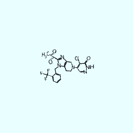 CS(=O)(=O)c1nc2c(n1Cc1ccccc1C(F)(F)F)CCN(c1cn[nH]c(=O)c1Cl)C2